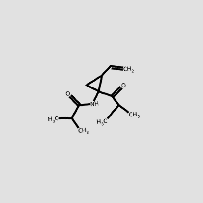 C=CC1CC1(NC(=O)C(C)C)C(=O)C(C)C